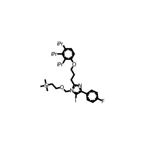 CC(C)c1ccc(OCCCc2nc(-c3ccc(F)cc3)c(I)n2COCC[Si](C)(C)C)c(C(C)C)c1C(C)C